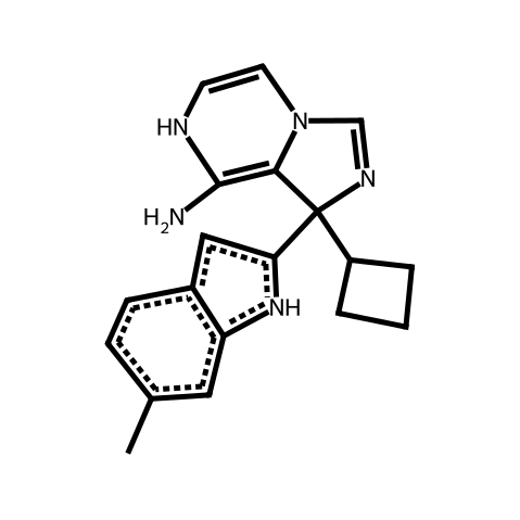 Cc1ccc2cc(C3(C4CCC4)N=CN4C=CNC(N)=C43)[nH]c2c1